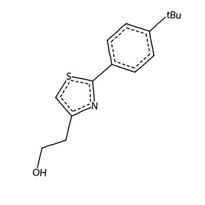 CC(C)(C)c1ccc(-c2nc(CCO)cs2)cc1